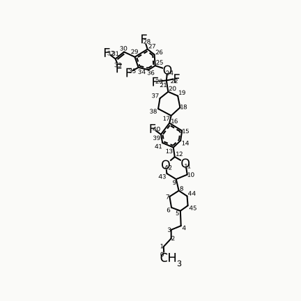 CCCCCC1CCC(C2COC(c3ccc(C4CCC(C(F)(F)Oc5cc(F)c(C=C(F)F)c(F)c5)CC4)c(F)c3)OC2)CC1